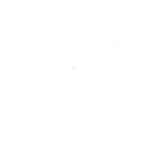 CC(Cc1nn(-c2ccc(I)cc2)c2c1C(=O)CC(C(C)C)C2)CC(C)(C)C